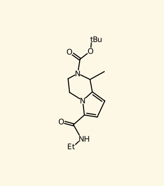 CCNC(=O)c1ccc2n1CCN(C(=O)OC(C)(C)C)C2C